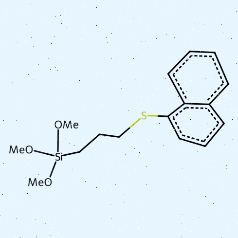 CO[Si](CCCSc1cccc2ccccc12)(OC)OC